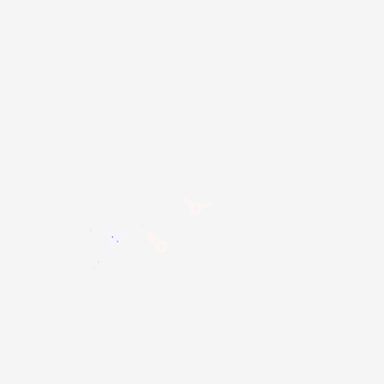 C=Cc1ccc(OCc2ccccc2)c(C(=O)N(C)C)c1